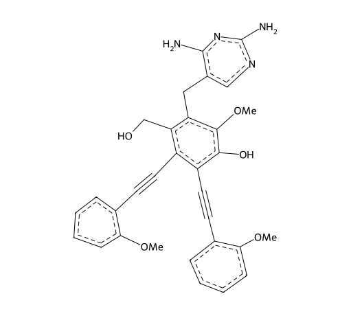 COc1ccccc1C#Cc1c(O)c(OC)c(Cc2cnc(N)nc2N)c(CO)c1C#Cc1ccccc1OC